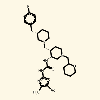 CC(=O)c1sc(NC(=O)N[C@H]2CN(CC3CCCCO3)CC[C@H]2CN2CCC[C@@H](Cc3ccc(F)cc3)C2)nc1C